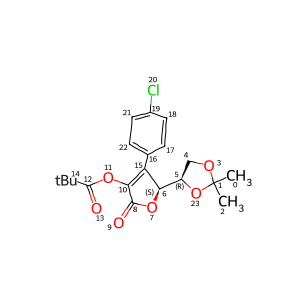 CC1(C)OC[C@H]([C@H]2OC(=O)C(OC(=O)C(C)(C)C)=C2c2ccc(Cl)cc2)O1